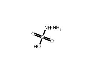 N.[NH]S(=O)(=O)O